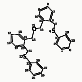 c1ccc(SCc2ccccc2COCc2ccccc2CSc2ccccc2)cc1